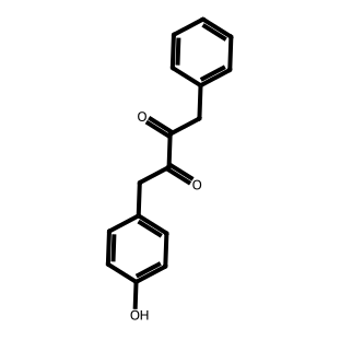 O=C(Cc1ccccc1)C(=O)Cc1ccc(O)cc1